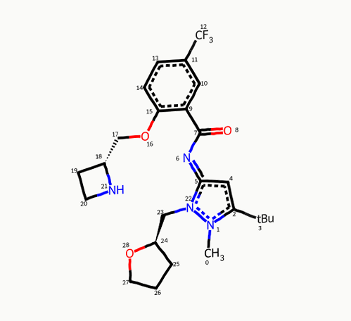 Cn1c(C(C)(C)C)c/c(=N\C(=O)c2cc(C(F)(F)F)ccc2OC[C@H]2CCN2)n1C[C@H]1CCCO1